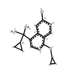 CC(N)(c1cnc(OC2CC2)c2cnc(Cl)cc12)C1CC1